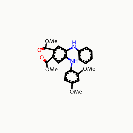 COC(=O)c1cc(Nc2ccccc2)c(Nc2ccc(OC)cc2OC)cc1C(=O)OC